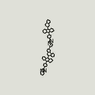 c1ccc2cc(-c3c4ccccc4c(-c4ccc(-c5cn6cc(-c7ccc8cc(-c9c%10ccccc%10c(-c%10ccc(-c%11cn%12ccccc%12n%11)cc%10)c%10ccccc9%10)c9ccccc9c8c7)ccc6n5)cc4)c4ccccc34)ccc2c1